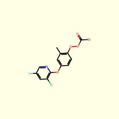 CCC(=O)OOc1ccc(Oc2ncc(F)cc2Cl)cc1C